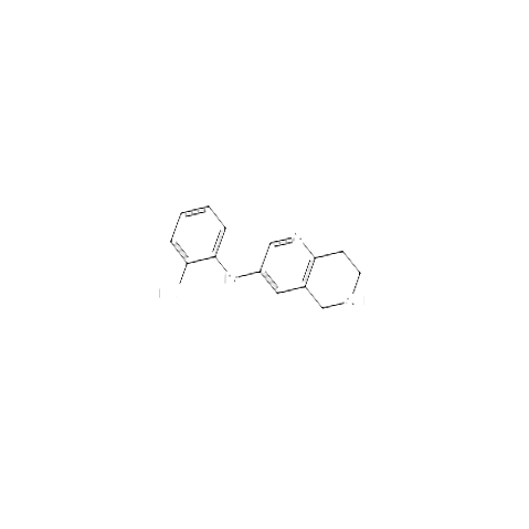 FC(F)(F)c1ccccc1Nc1cnc2c(c1)CNCC2